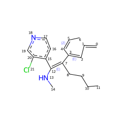 C=C/C=C(\C=C/C)C(/CCCC)=C(/NC)c1ccncc1Cl